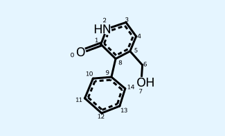 O=c1[nH]ccc(CO)c1-c1ccccc1